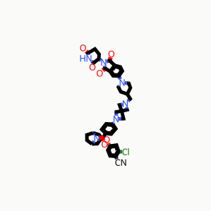 N#Cc1ccc(OC2CC3CCC(C2)N3C(=O)c2ccc(N3CC4(CN(CC5CCN(c6ccc7c(c6)C(=O)N(C6CCC(=O)NC6=O)C7=O)CC5)C4)C3)cc2)cc1Cl